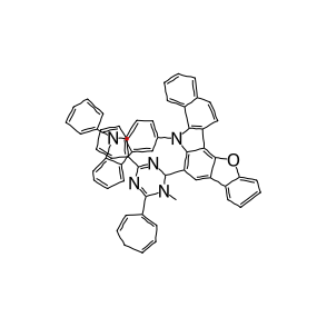 CN1C(C2=CC=CCC=C2)=NC(c2ccccc2)=NC1c1cc2c3ccccc3oc2c2c3ccc4ccccc4c3n(-c3ccc4c(c3)c3ccccc3n4-c3ccccc3)c12